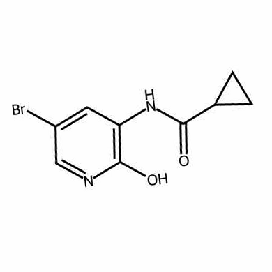 O=C(Nc1cc(Br)cnc1O)C1CC1